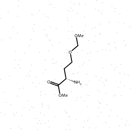 COCOCC[C@H](N)C(=O)OC